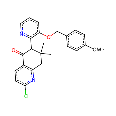 COc1ccc(COc2cccnc2C2C(=O)c3ccc(Cl)nc3CC2(C)C)cc1